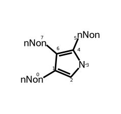 CCCCCCCCCC1=C[N]C(CCCCCCCCC)=C1CCCCCCCCC